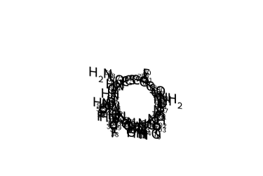 COc1ccc(C[C@@H]2NC(=O)[C@H](Cc3cnc[nH]3)NC(=O)[C@H](CC(=O)O)NC(=O)[C@H](Cc3c[nH]c4ccc(F)cc34)NC(=O)[C@H](Cc3c[nH]c4ccc(F)cc34)NC(=O)[C@@H](C)NC(=O)[C@H](CCCCN)NC(=O)CCSCc3cc(F)cc(c3)CSC[C@@H](C(N)=O)NC(=O)[C@]3(C)CCCN3C2=O)cc1